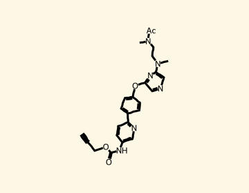 C#CCOC(=O)Nc1ccc(-c2ccc(Oc3cncc(N(C)CCN(C)C(C)=O)n3)cc2)nc1